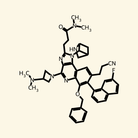 CN(C)C(=O)CCc1nc2c(N3CC(N(C)C)C3)nc3c(OCc4ccccc4)c(-c4cccc5ccc(F)cc45)c(CCC#N)cc3c2n1C1C2CNC1C2